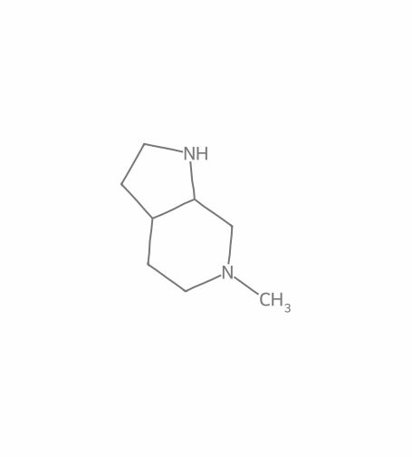 CN1CCC2CCNC2C1